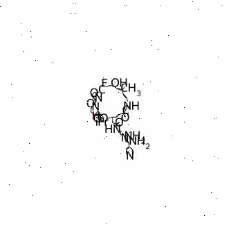 CC1=C\[C@@H](O)C[C@@H](F)Cc2nc(co2)C(=O)N2CCC[C@@H]2C(=O)O[C@H](C(C)C)[C@H](CC(=O)NCCN(N)/C=C(\N)c2ccncc2)/C=C/C(=O)CNC\C=C\1